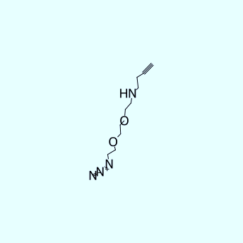 C#CCCNCCOCCOCCN=[N+]=[N-]